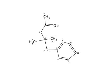 CC(=O)CC(C)(C)Oc1ccccc1